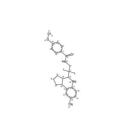 CC(C)(CNC(=O)c1ccc(OC(F)(F)F)cc1)C1Nc2ccc(C#N)cc2C2CCCC21